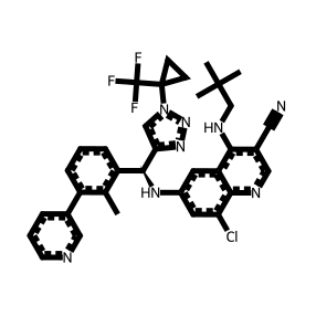 Cc1c(-c2cccnc2)cccc1[C@H](Nc1cc(Cl)c2ncc(C#N)c(NCC(C)(C)C)c2c1)c1cn(C2(C(F)(F)F)CC2)nn1